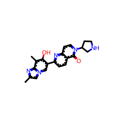 Cc1cn2cc(-c3ccc4c(=O)n(C5CCNC5)ccc4n3)c(O)c(C)c2n1